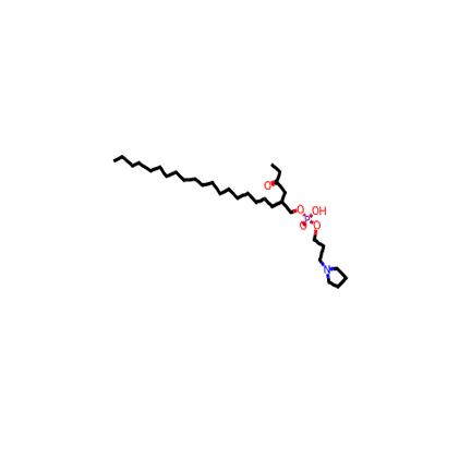 CCCCCCCCCCCCCCCCCCCC(COP(=O)(O)OCCCN1CCCC1)CC(=O)CC